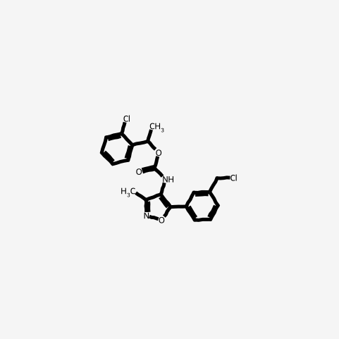 Cc1noc(-c2cccc(CCl)c2)c1NC(=O)OC(C)c1ccccc1Cl